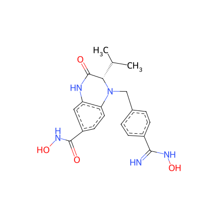 CC(C)[C@H]1C(=O)Nc2cc(C(=O)NO)ccc2N1Cc1ccc(C(=N)NO)cc1